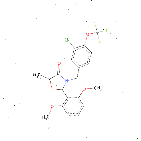 COc1cccc(OC)c1C1OC(C)C(=O)N1Cc1ccc(OC(F)(F)F)c(Cl)c1